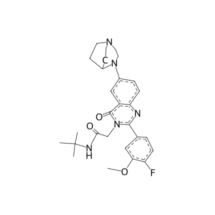 COc1cc(-c2nc3ccc(N4CCN5CCC4CC5)cc3c(=O)n2CC(=O)NC(C)(C)C)ccc1F